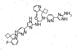 Nc1nc(-c2ccc(N(CC(=O)Nc3nc(-c4ccc(NCC5(c6ncccc6F)CCC5)nn4)c[nH]3)CC3(c4ncccc4F)CCC3)nn2)c[nH]1